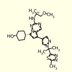 COC[C@H](C)Nc1ncc2c(-c3cnn(C(C)(C)c4nnc(C)s4)c3)cc([C@H]3CC[C@H](O)CC3)n2n1